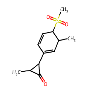 CC1C=C(C2C(=O)C2C)C=CC1S(C)(=O)=O